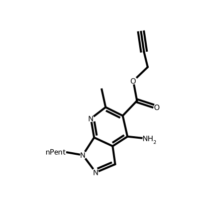 C#CCOC(=O)c1c(C)nc2c(cnn2CCCCC)c1N